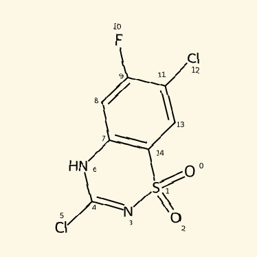 O=S1(=O)N=C(Cl)Nc2cc(F)c(Cl)cc21